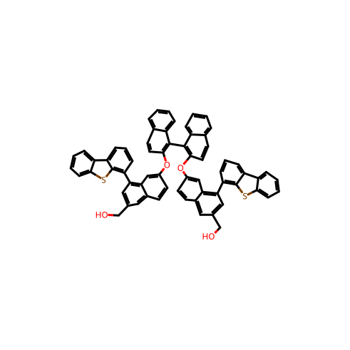 OCc1cc(-c2cccc3c2sc2ccccc23)c2cc(Oc3ccc4ccccc4c3-c3c(Oc4ccc5cc(CO)cc(-c6cccc7c6sc6ccccc67)c5c4)ccc4ccccc34)ccc2c1